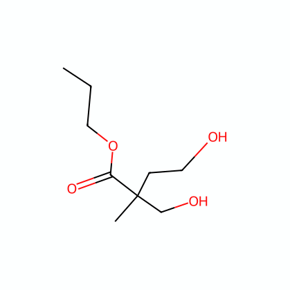 CCCOC(=O)C(C)(CO)CCO